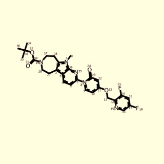 Cn1c2c(c3ccc(-n4ccc(OCc5ncc(F)cc5F)cc4=O)nc31)CCN(C(=O)OC(C)(C)C)CC2